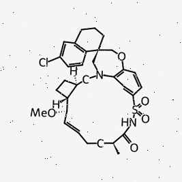 CO[C@H]1/C=C/CC[C@H](C)C(=O)NS(=O)(=O)c2ccc3c(c2)N(C[C@@H]2CC[C@H]21)C[C@@]1(CCCc2cc(Cl)ccc21)CO3